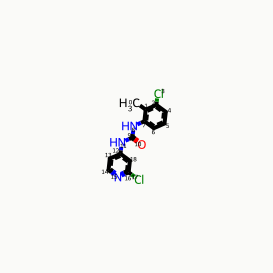 Cc1c(Cl)cccc1NC(=O)Nc1ccnc(Cl)c1